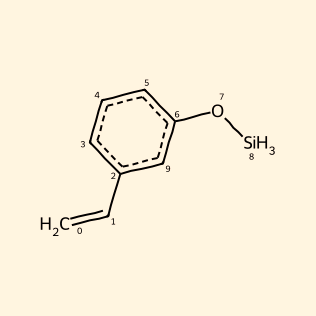 C=Cc1cccc(O[SiH3])c1